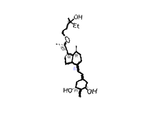 C=C1[C@H](O)CC(=C/C=C2\CC[C@H](C)C3C2CC[C@@H]3[C@H](C)OCCC[C@](C)(O)CC)C[C@H]1O